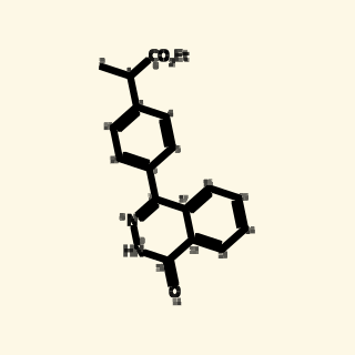 CCOC(=O)C(C)c1ccc(-c2n[nH]c(=O)c3ccccc23)cc1